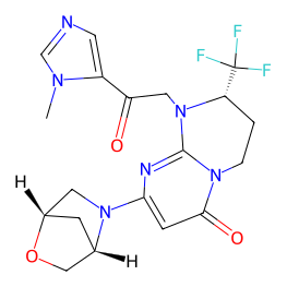 Cn1cncc1C(=O)CN1c2nc(N3C[C@@H]4C[C@H]3CO4)cc(=O)n2CC[C@H]1C(F)(F)F